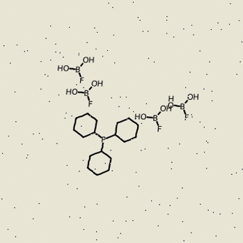 C1CCC(P(C2CCCCC2)C2CCCCC2)CC1.OB(O)F.OB(O)F.OB(O)F.OB(O)F